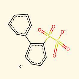 O=S(=O)([O-])S(=O)(=O)c1ccccc1-c1ccccc1.[K+]